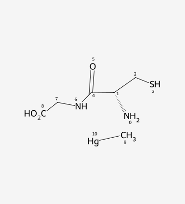 N[C@@H](CS)C(=O)NCC(=O)O.[CH3][Hg]